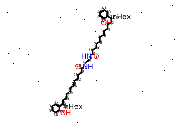 CCCCCCC(CCCCCCCCCCC(=O)NCCNC(=O)CCCCCCCCCCC(CCCCCC)c1ccccc1O)c1ccccc1O